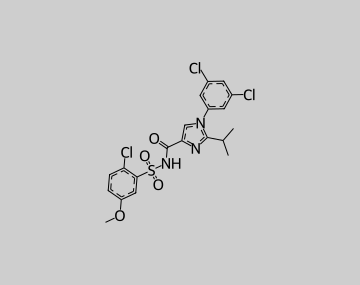 COc1ccc(Cl)c(S(=O)(=O)NC(=O)c2cn(-c3cc(Cl)cc(Cl)c3)c(C(C)C)n2)c1